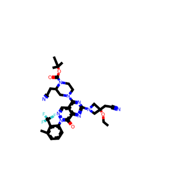 CCOC1(CC#N)CN(c2nc(N3CCN(C(=O)OC(C)(C)C)C(CC#N)C3)c3cnn(-c4cccc(C)c4C(F)(F)F)c(=O)c3n2)C1